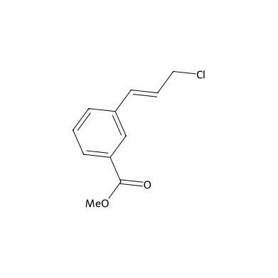 COC(=O)c1cccc(C=CCCl)c1